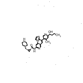 CCC[C@@H](O)c1cc(C)c(-c2cc3cnc(NC(=O)[C@@H]4C[C@H]4CN4CCNCC4)cc3n3ccnc23)cn1